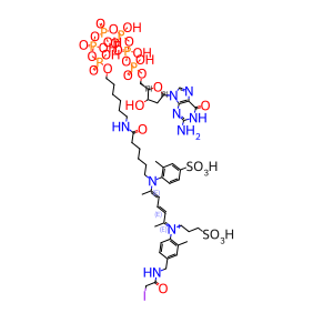 C\C(=C/C=C/C(C)=[N+](\CCCS(=O)(=O)O)c1ccc(CNC(=O)CI)cc1C)N(CCCCCC(=O)NCCCCCCOP(=O)(O)OP(=O)(O)OP(=O)(O)OP(=O)(O)OP(=O)(O)OP(=O)(O)OC[C@H]1O[C@@H](n2cnc3c(=O)[nH]c(N)nc32)CC1O)c1ccc(S(=O)(=O)O)cc1C